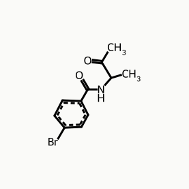 CC(=O)C(C)NC(=O)c1ccc(Br)cc1